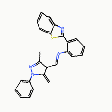 C=C1C(C=Nc2ccccc2-c2nc3ccccc3s2)C(C)=NN1c1ccccc1